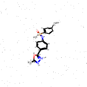 COc1ccc(S(C)(=O)=Nc2ccc(-c3nnc(C)o3)cc2)cc1